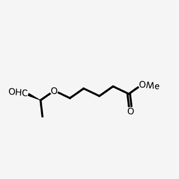 COC(=O)CCCCO[C@@H](C)C=O